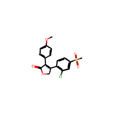 COc1ccc(C2=C(c3ccc(S(C)(=O)=O)cc3Cl)COC2=O)cc1